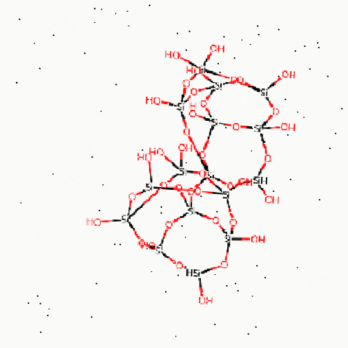 O[SiH]1O[Si]2(O)O[Si]3(O)O[Si](O)(O)O[Si]4(O)O[Si](O)(O1)O[Si](O[Si]15O[SiH](O)O[Si]6(O)O[Si]7(O)O[Si](O)(O)O[Si](O)(O[Si](O)(O7)O[Si](O)(O6)O1)O5)(O2)O[Si](O)(O3)O4